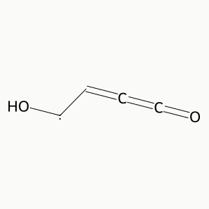 O=C=C=C[CH]O